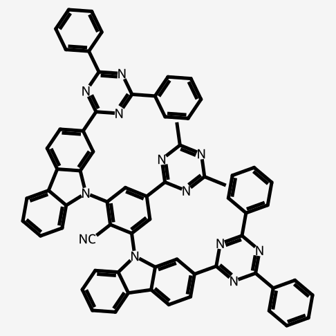 Cc1nc(C)nc(-c2cc(-n3c4ccccc4c4ccc(-c5nc(-c6ccccc6)nc(-c6ccccc6)n5)cc43)c(C#N)c(-n3c4ccccc4c4ccc(-c5nc(-c6ccccc6)nc(-c6ccccc6)n5)cc43)c2)n1